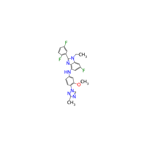 CCn1c(-c2cc(F)ccc2F)nc2c(Nc3ccc(-n4cnc(C)n4)c(OC)c3)cc(F)cc21